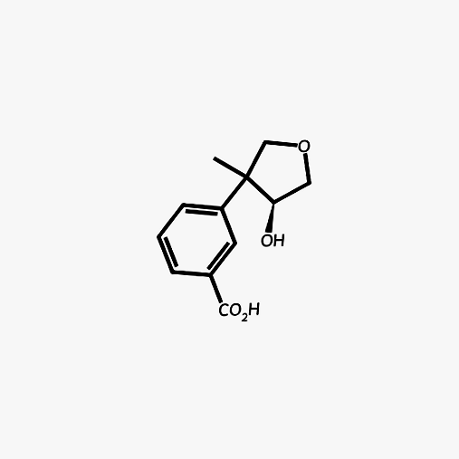 CC1(c2cccc(C(=O)O)c2)COC[C@H]1O